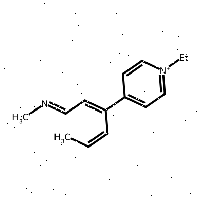 C\C=C/C(=C\C=N\C)c1cc[n+](CC)cc1